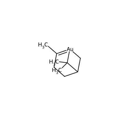 C[C]1=[Au]2[CH2]C(CC1)[C]2(C)C